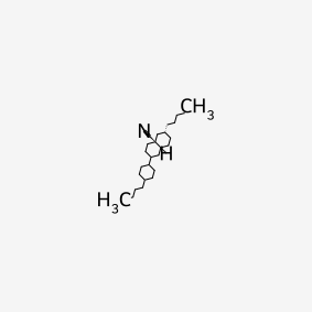 CCCCC[C@@H]1CC[C@@H]2CC(C3CCC(CCCC)CC3)CC[C@]2(C#N)C1